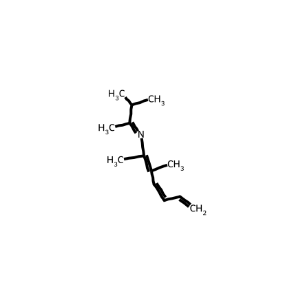 C=C\C=C/C(C)=C(C)/N=C(\C)C(C)C